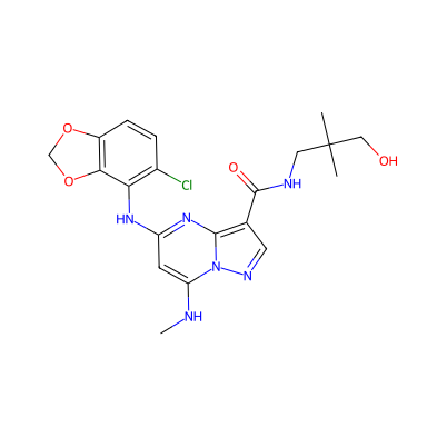 CNc1cc(Nc2c(Cl)ccc3c2OCO3)nc2c(C(=O)NCC(C)(C)CO)cnn12